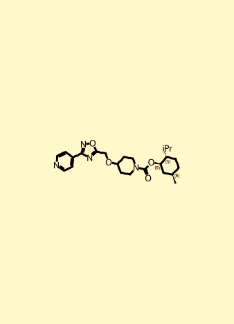 CC(C)[C@@H]1CC[C@@H](C)C[C@H]1OC(=O)N1CCC(OCc2nc(-c3ccncc3)no2)CC1